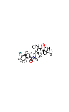 CC1(C)C[C@]2(C=C(C#N)C1=O)CCN(C(=O)C1CCc3c(F)cccc31)C2